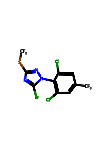 FC(F)(F)Sc1nc(Br)n(-c2c(Cl)cc(C(F)(F)F)cc2Cl)n1